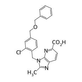 Cc1nc2ccc(C(=O)O)nc2n1Cc1ccc(COCc2ccccc2)cc1Cl